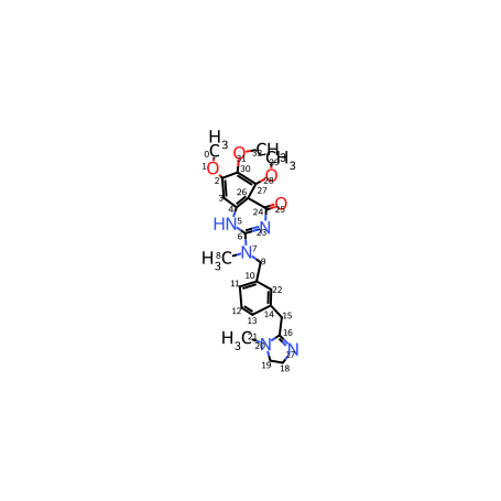 COc1cc2[nH]c(N(C)Cc3cccc(CC4=NCCN4C)c3)nc(=O)c2c(OC)c1OC